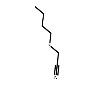 CCCCSCC#N